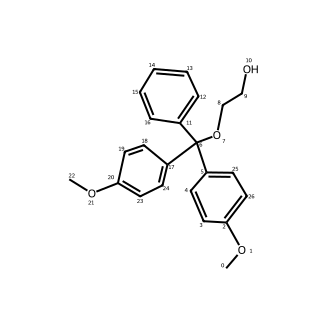 COc1ccc(C(OCCO)(c2ccccc2)c2ccc(OC)cc2)cc1